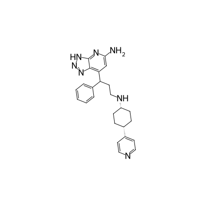 Nc1cc(C(CCN[C@H]2CC[C@@H](c3ccncc3)CC2)c2ccccc2)c2nn[nH]c2n1